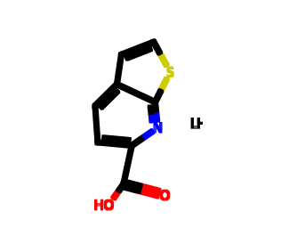 O=C(O)c1ccc2ccsc2n1.[Li]